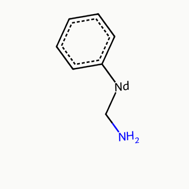 N[CH2][Nd][c]1ccccc1